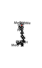 COCC[C@H](NC(=O)OC)C(=O)N1CCS[C@H]1c1ncc(-c2ccc(-c3ccc4cc(-c5c[nH]c([C@@H]6CC7(CC7)CN6C(=O)[C@@H](NC(=O)OC)C(C)C)n5)ccc4c3)cc2)[nH]1